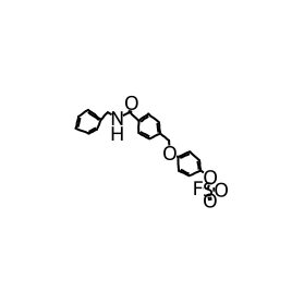 O=C(NCc1ccccc1)c1ccc(COc2ccc(OS(=O)(=O)F)cc2)cc1